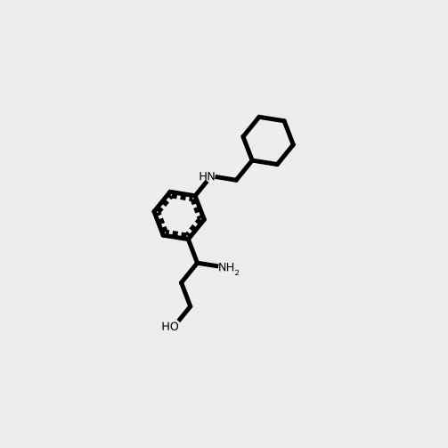 NC(CCO)c1cccc(NCC2CCCCC2)c1